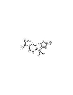 COC(=O)c1ccc(C2(c3ncc(Br)s3)CC2)cc1